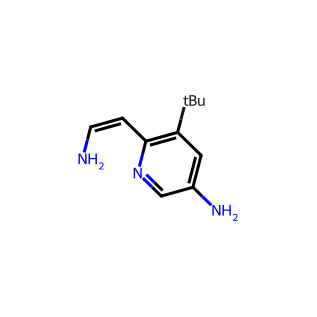 CC(C)(C)c1cc(N)cnc1/C=C\N